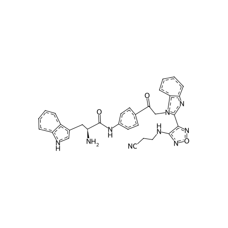 N#CCCNc1nonc1-c1nc2ccccc2n1CC(=O)c1ccc(NC(=O)[C@@H](N)Cc2c[nH]c3ccccc23)cc1